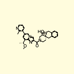 CO[C@H](C)c1cc(-c2cccnc2C)cn2cc(C(=O)N3CC[C@]4(Cc5ccccc5CN4)[C@H](O)C3)nc12